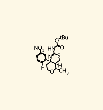 C[C@H]1OCC[C@]2(c3cc([N+](=O)[O-])ccc3F)N=C(NC(=O)OC(C)(C)C)SC[C@H]12